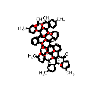 Cc1ccc(C(=O)c2c(C(=O)c3ccc(C)cc3)c(C(=O)c3ccc(C)cc3)c3ccccc3c2OB(Oc2c(C(=O)c3ccc(C)cc3)c(C(=O)c3ccc(C)cc3)c(C(=O)c3ccc(C)cc3)c3ccccc23)Oc2c(C(=O)c3ccc(C)cc3)c(C(=O)c3ccc(C)cc3)c(C(=O)c3ccc(C)cc3)c3ccccc23)cc1